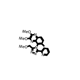 COCc1nnc(-c2ccccn2)n1-c1c(C)ccc2nc(OC)c(OC)nc12